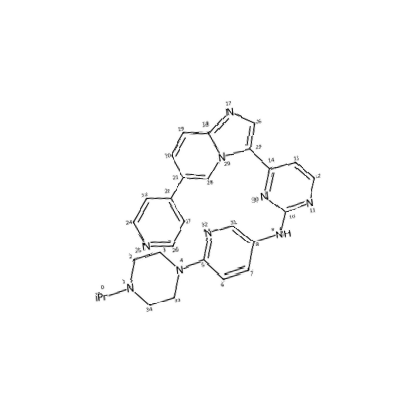 CC(C)N1CCN(c2ccc(Nc3nccc(-c4cnc5ccc(-c6ccncc6)cn45)n3)cn2)CC1